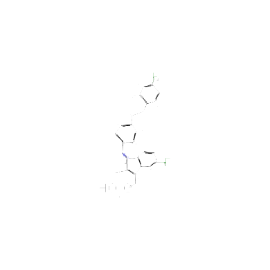 CC1=C(CC(=O)O)c2cc(F)ccc2/C1=C\c1ccc(CCc2ccc(F)cc2)cc1